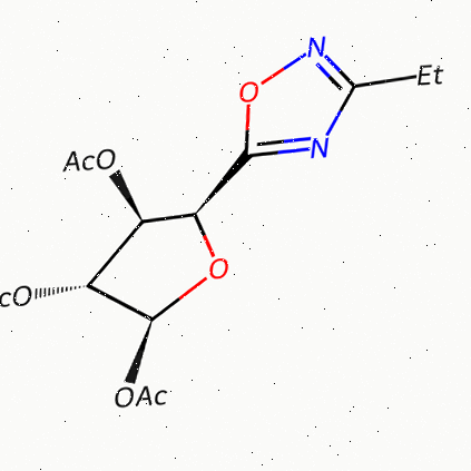 CCc1noc([C@H]2O[C@@H](OC(C)=O)[C@H](OC(C)=O)[C@H]2OC(C)=O)n1